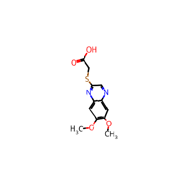 COc1cc2ncc(SCC(=O)O)nc2cc1OC